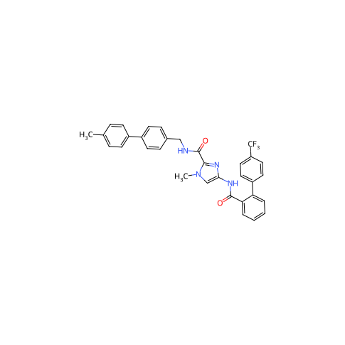 Cc1ccc(-c2ccc(CNC(=O)c3nc(NC(=O)c4ccccc4-c4ccc(C(F)(F)F)cc4)cn3C)cc2)cc1